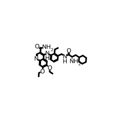 CCOc1cc2ncc(C(N)=O)c(Nc3cccc(CNC(=O)[C@@H](N)CC4CCCCC4)c3CC)c2cc1OCC